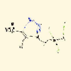 Cc1c(CC(F)(F)CF)n[nH]c1C(=O)O